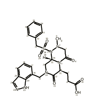 CN1CC(=O)N2[C@@H](CCC(=O)O)C(=O)N(Cc3cccc4cn[nH]c34)C[C@@H]2N1S(=O)(=O)Cc1ccccc1